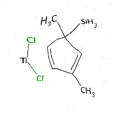 CC1=CC(C)([SiH3])C=C1.[Cl][Ti][Cl]